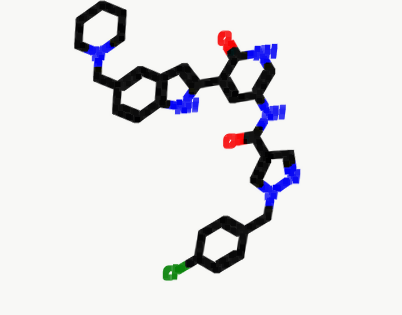 O=C(Nc1c[nH]c(=O)c(-c2cc3cc(CN4CCCCC4)ccc3[nH]2)c1)c1cnn(CC2=CCC(Cl)C=C2)c1